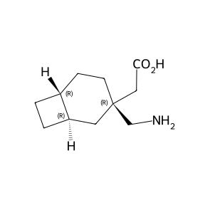 NC[C@]1(CC(=O)O)CC[C@H]2CC[C@@H]2C1